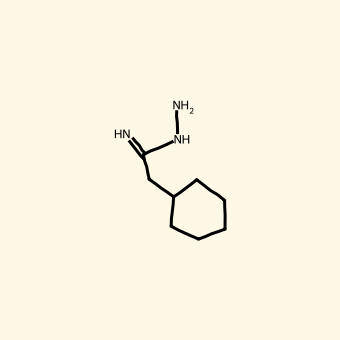 N=C(CC1CCCCC1)NN